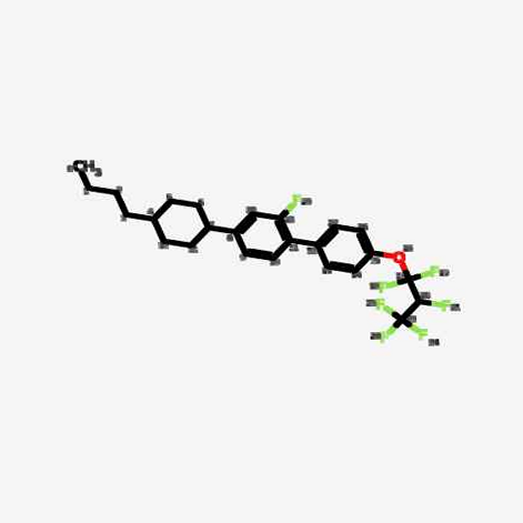 CCCCC1CCC(c2ccc(-c3ccc(OC(F)(F)C(F)C(F)(F)F)cc3)c(F)c2)CC1